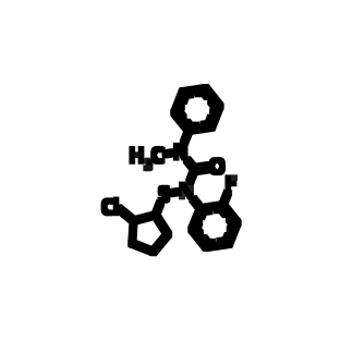 CN(C(=O)N(SC1CCCC1Cl)c1ccccc1F)c1ccccc1